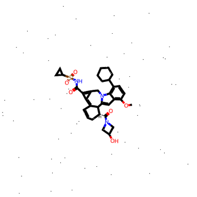 COc1ccc(C2CCCCC2)c2c1cc1n2CC2=C(C(=O)NS(=O)(=O)C3CC3)C2=C2C=CC[C@@H](C(=O)N3CC(O)C3)C21